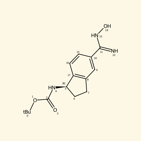 CC(C)(C)OC(=O)N[C@@H]1CCc2cc(C(=N)NO)ccc21